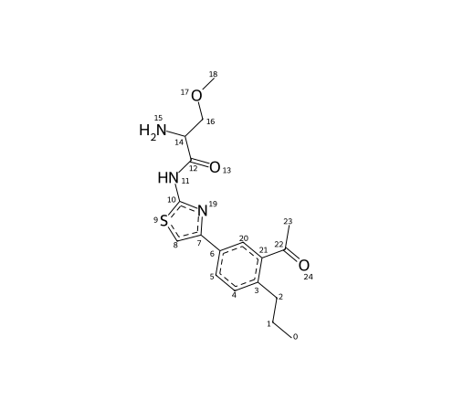 CCCc1ccc(-c2csc(NC(=O)C(N)COC)n2)cc1C(C)=O